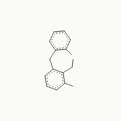 Fc1cccc2c1CSc1ccccc1C2